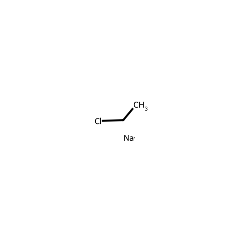 CCCl.[Na]